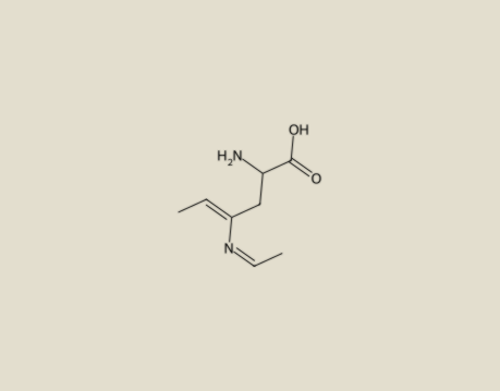 C/C=N\C(=C/C)CC(N)C(=O)O